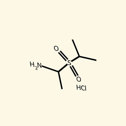 CC(C)S(=O)(=O)C(C)N.Cl